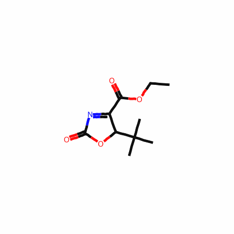 CCOC(=O)C1=NC(=O)OC1C(C)(C)C